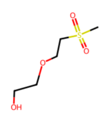 CS(=O)(=O)CCOCCO